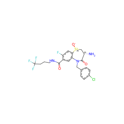 N[C@H]1C[S@+]([O-])c2cc(F)c(C(=O)NCCCC(F)(F)F)cc2N(Cc2ccc(Cl)cc2)C1=O